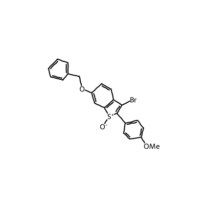 COc1ccc(-c2c(Br)c3ccc(OCc4ccccc4)cc3[s+]2[O-])cc1